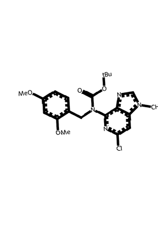 COc1ccc(CN(C(=O)OC(C)(C)C)c2nc(Cl)cc3c2ncn3C)c(OC)c1